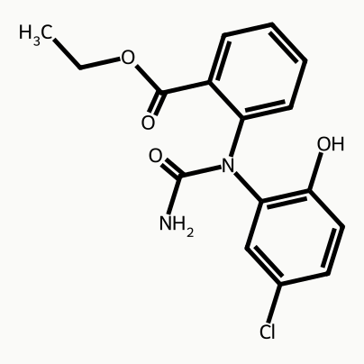 CCOC(=O)c1ccccc1N(C(N)=O)c1cc(Cl)ccc1O